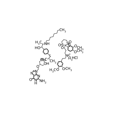 CCCCCCCCNC(C)C(O)c1ccc(SC(C)C)cc1.COc1ccc(CCN(C)CCCC2(c3ccc(OC)c(OC)c3)S(=O)(=O)CCCS2(=O)=O)cc1OC.Cl.Nc1nc2c(ncn2COC(CO)CO)c(=O)[nH]1